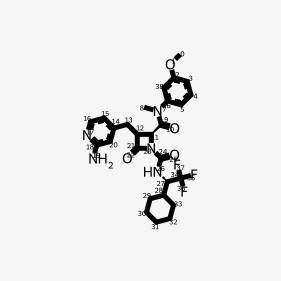 COc1cccc(N(C)C(=O)[C@@H]2C(Cc3ccnc(N)c3)C(=O)N2C(=O)N[C@@H](C2CCCCC2)C(F)(F)F)c1